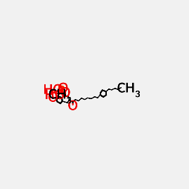 CCCCCc1ccc(CCCCCCCCC(=O)C(CCOP(=O)(O)O)Cc2ccc(OC)cc2)cc1